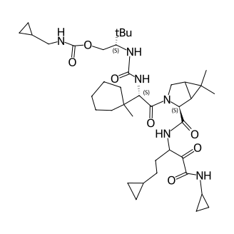 CC1(C)C2CN(C(=O)[C@@H](NC(=O)N[C@H](COC(=O)NCC3CC3)C(C)(C)C)C3(C)CCCCC3)[C@H](C(=O)NC(CCC3CC3)C(=O)C(=O)NC3CC3)C21